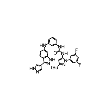 CC(C)(C)c1cc(NC(=O)Nc2cccc(Nc3ccc4c(-c5cn[nH]c5)n[nH]c4c3)c2)n(-c2cc(F)cc(F)c2)n1